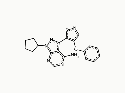 Nc1ncnc2c1c(-c1sncc1Oc1ccccc1)nn2C1CCCC1